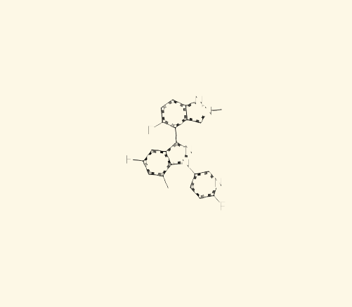 Cc1cc(F)cc2c(-c3c(F)ccc4nn(C)cc34)nn(-c3ccc(F)nc3)c12